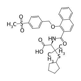 CC(C)(SC1CCCC1)[C@H](NC(=O)c1ccc2ccccc2c1OCc1ccc(S(C)(=O)=O)cc1)C(=O)O